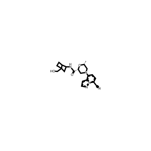 C[C@@H]1CN(c2ccc(C#N)n3nccc23)C[C@H](C(=O)NC2CC3(CO)CCC23)O1